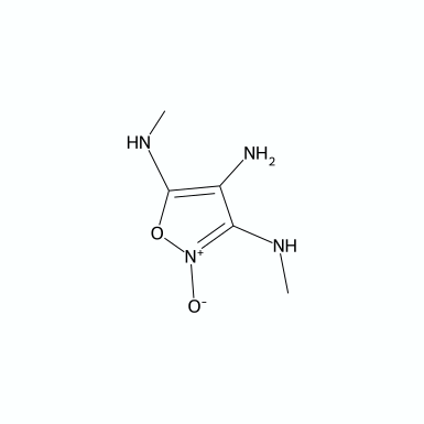 CNc1o[n+]([O-])c(NC)c1N